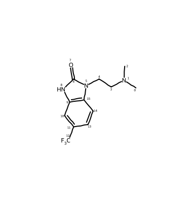 CN(C)CCn1c(=O)[nH]c2cc(C(F)(F)F)ccc21